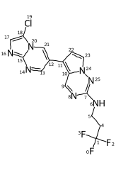 FC(F)(F)CCNc1ncc2c(-c3cnc4ncc(Cl)n4c3)ccn2n1